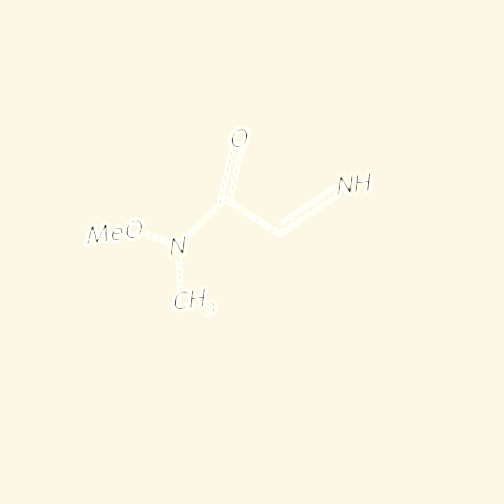 CON(C)C(=O)C=N